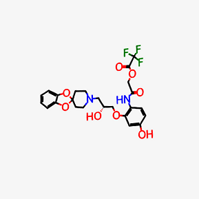 O=C(COC(=O)C(F)(F)F)Nc1ccc(O)cc1OC[C@H](O)CN1CCC2(CC1)Oc1ccccc1O2